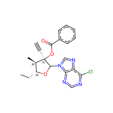 C#C[C@]1(OC(=O)c2ccccc2)C(n2cnc3c(Cl)ncnc32)O[C@H](CC)[C@H]1C